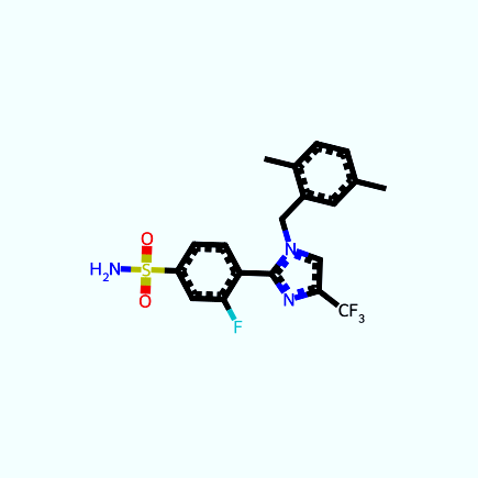 Cc1ccc(C)c(Cn2cc(C(F)(F)F)nc2-c2ccc(S(N)(=O)=O)cc2F)c1